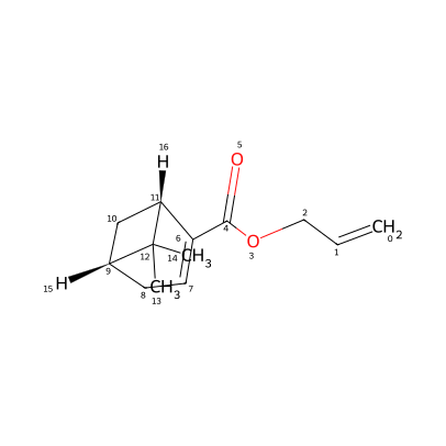 C=CCOC(=O)C1=CC[C@@H]2C[C@H]1C2(C)C